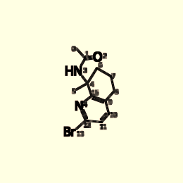 CC(=O)NC1(C)CCCc2ccc(Br)nc21